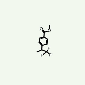 COC(=O)c1ccc(C(C)C(F)(F)F)cc1